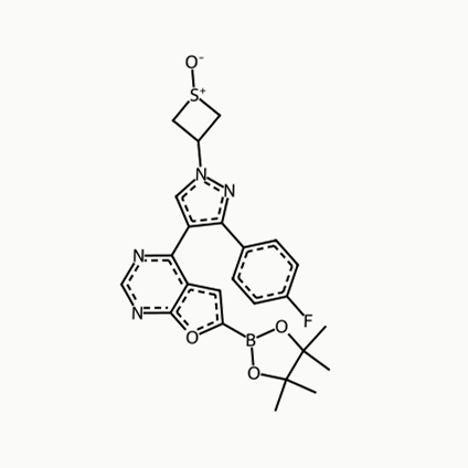 CC1(C)OB(c2cc3c(-c4cn(C5C[S+]([O-])C5)nc4-c4ccc(F)cc4)ncnc3o2)OC1(C)C